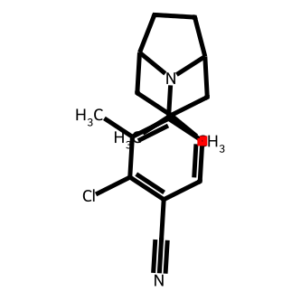 Cc1c(N2C3CCC2CC(C)(C)C3)ccc(C#N)c1Cl